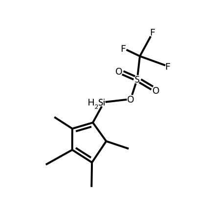 CC1=C(C)C(C)C([SiH2]OS(=O)(=O)C(F)(F)F)=C1C